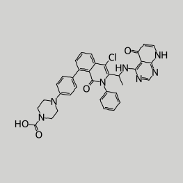 CC(Nc1ncnc2[nH]ccc(=O)c12)c1c(Cl)c2cccc(-c3ccc(N4CCN(C(=O)O)CC4)cc3)c2c(=O)n1-c1ccccc1